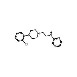 Clc1ccccc1N1CCN(CCNc2ccccn2)CC1